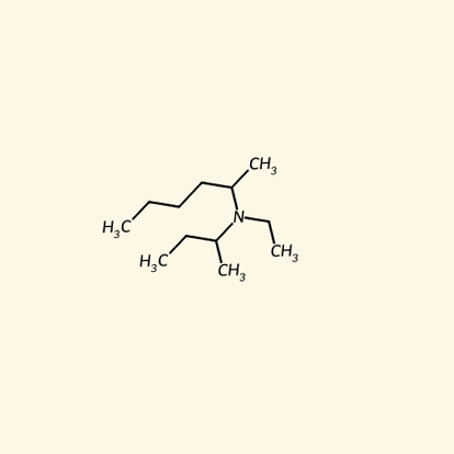 CCCCC(C)N(CC)C(C)CC